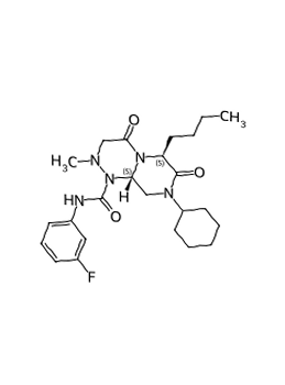 CCCC[C@H]1C(=O)N(C2CCCCC2)C[C@H]2N1C(=O)CN(C)N2C(=O)Nc1cccc(F)c1